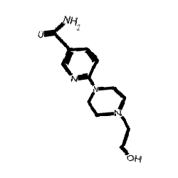 NC(=O)c1ccc(N2CCN(CCO)CC2)nc1